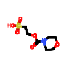 O=C(OCCS(=O)(=O)O)N1CCOCC1